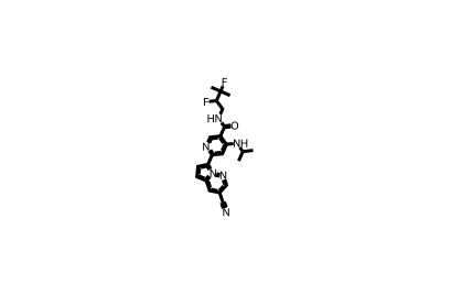 CC(C)Nc1cc(-c2ccc3cc(C#N)cnn23)ncc1C(=O)NCC(F)C(C)(C)F